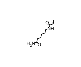 C=CC(=O)NCCCCCC(N)=O